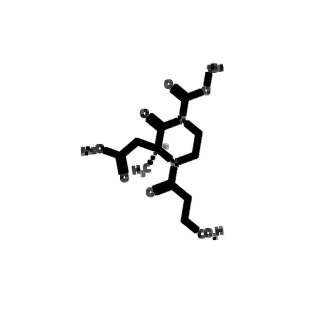 COC(=O)C[C@@]1(C)C(=O)N(C(=O)OC(C)(C)C)CCN1C(=O)CCC(=O)O